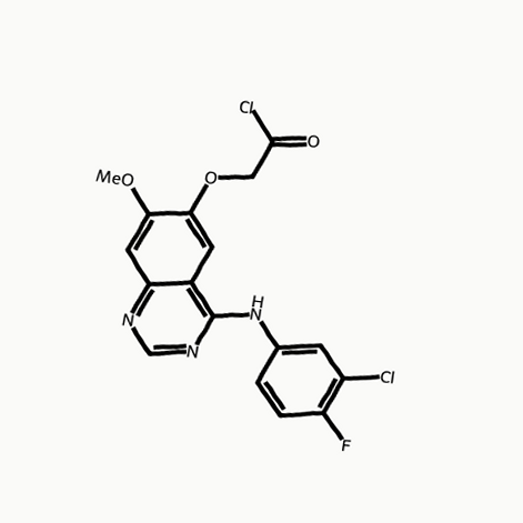 COc1cc2ncnc(Nc3ccc(F)c(Cl)c3)c2cc1OCC(=O)Cl